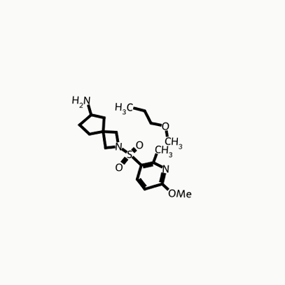 CCCOC.COc1ccc(S(=O)(=O)N2CC3(CCC(N)C3)C2)c(C)n1